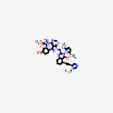 Cc1ccc(C)n1-n1c(Cn2nc(-c3ccc(O)c4c3CC(C)(C)O4)c3c(N)ncnc32)nc2cccc(C#Cc3cncn3C)c2c1=O